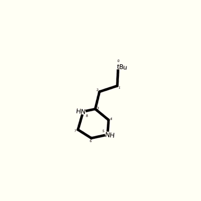 CC(C)(C)CCC1CNCCN1